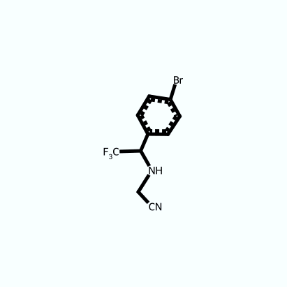 N#CCNC(c1ccc(Br)cc1)C(F)(F)F